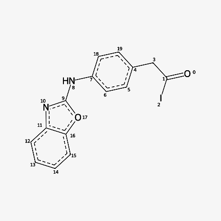 O=C(I)Cc1ccc(Nc2nc3ccccc3o2)cc1